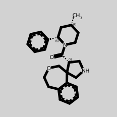 C[C@@H]1CCN(C(=O)[C@@H]2CNCC23COCCc2ccccc23)[C@H](c2ccccc2)C1